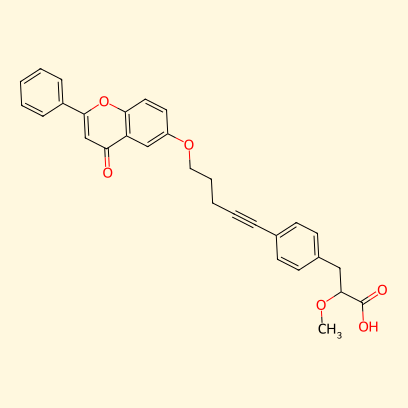 COC(Cc1ccc(C#CCCCOc2ccc3oc(-c4ccccc4)cc(=O)c3c2)cc1)C(=O)O